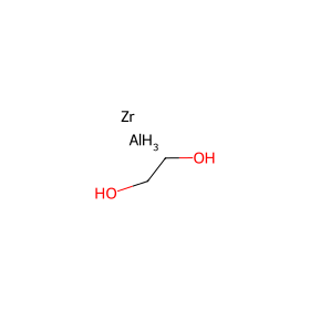 OCCO.[AlH3].[Zr]